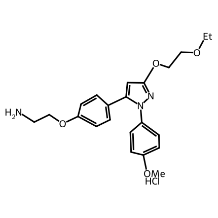 CCOCCOc1cc(-c2ccc(OCCN)cc2)n(-c2ccc(OC)cc2)n1.Cl